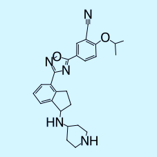 CC(C)Oc1ccc(-c2nc(-c3cccc4c3CCC4NC3CCNCC3)no2)cc1C#N